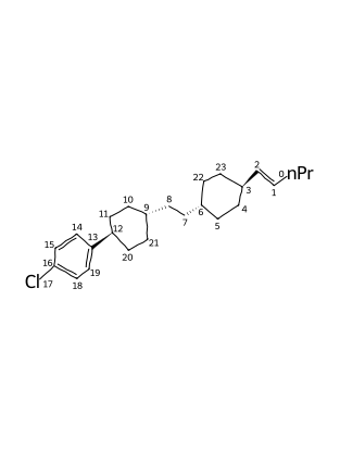 CCCC=C[C@H]1CC[C@H](CC[C@H]2CC[C@H](c3ccc(Cl)cc3)CC2)CC1